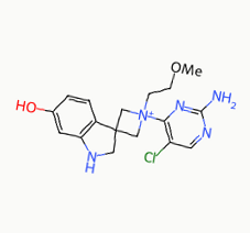 COCC[N+]1(c2nc(N)ncc2Cl)CC2(CNc3cc(O)ccc32)C1